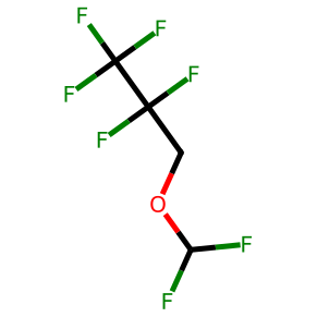 FC(F)OCC(F)(F)C(F)(F)F